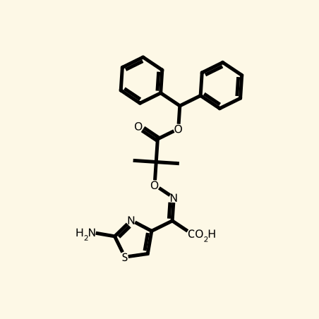 CC(C)(ON=C(C(=O)O)c1csc(N)n1)C(=O)OC(c1ccccc1)c1ccccc1